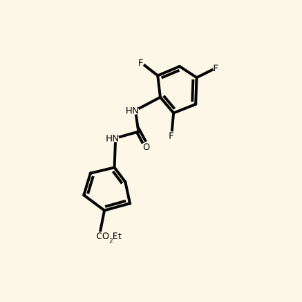 CCOC(=O)c1ccc(NC(=O)Nc2c(F)cc(F)cc2F)cc1